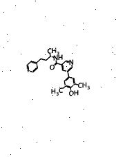 Cc1cc(-c2cncc(C(=O)NC(C)CCc3ccccc3)c2)cc(C)c1O